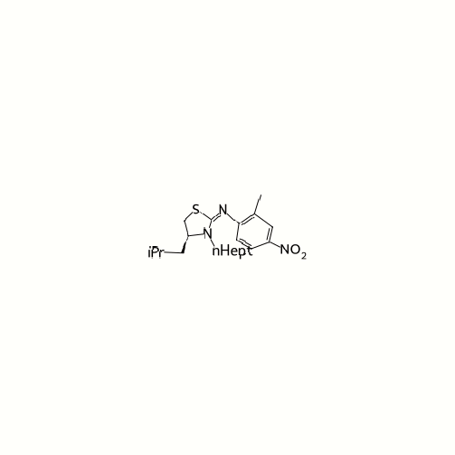 CCCCCCCN1C(=Nc2ccc([N+](=O)[O-])cc2C)SC[C@@H]1CC(C)C